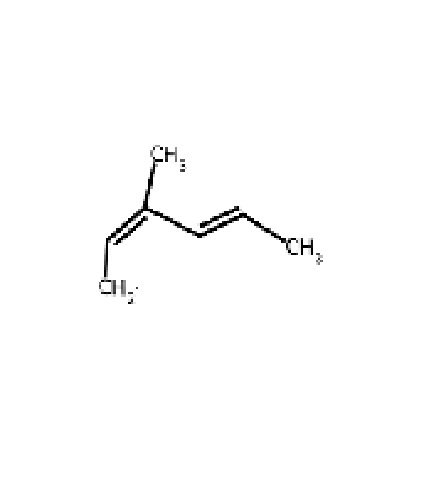 [CH2]C=C(C)C=CC